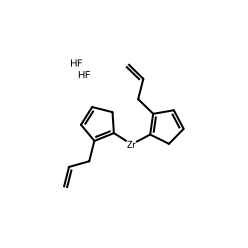 C=CCC1=[C]([Zr][C]2=C(CC=C)C=CC2)CC=C1.F.F